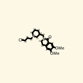 COc1cc2c(cc1OC)C(=O)N(CC1CCCN(CCCCl)C1)CC2